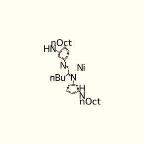 CCCCCCCCNc1cccc(/N=C/C(CCCC)=N/c2cccc(NCCCCCCCC)c2)c1.[Ni]